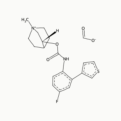 C[N+]12CCC(CC1)[C@@H](OC(=O)Nc1ccc(F)cc1-c1ccsc1)C2.O=C[O-]